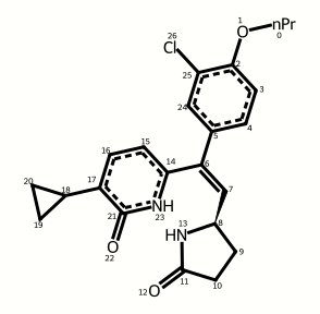 CCCOc1ccc(/C(=C/[C@H]2CCC(=O)N2)c2ccc(C3CC3)c(=O)[nH]2)cc1Cl